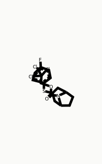 O=C(OCC(Cl)(Cl)Cl)N1C2CCC1CC(Sc1ccc(F)cc1)C2